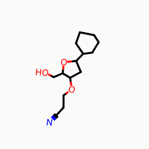 N#CCCOC1CC(C2CCCCC2)OC1CO